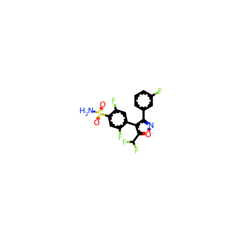 NS(=O)(=O)c1cc(F)c(-c2c(-c3cccc(F)c3)noc2C(F)F)cc1F